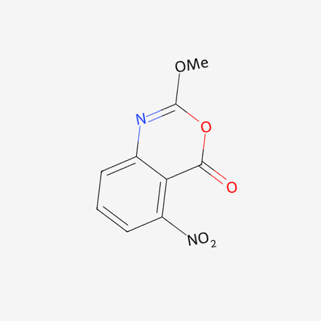 COc1nc2cccc([N+](=O)[O-])c2c(=O)o1